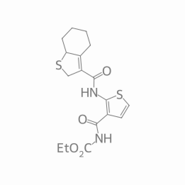 CCOC(=O)NC(=O)c1ccsc1NC(=O)C1=C2CCCCC2SC1